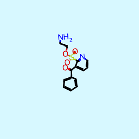 NCCOS(=O)(=O)c1ncccc1C(=O)c1ccccc1